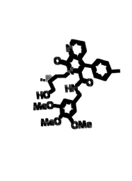 COc1cc(CNC(=O)c2c(-c3ccc(C)cc3)c3cccnc3c(=O)n2CC[C@@H](C)CO)cc(OC)c1OC